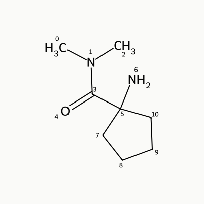 CN(C)C(=O)C1(N)CCCC1